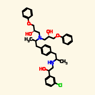 C[C@H](Cc1ccc(C[C@@H](C)N(C[C@H](O)COc2ccccc2)C[C@H](O)COc2ccccc2)cc1)NC[C@H](O)c1cccc(Cl)c1